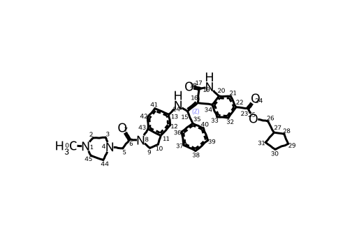 CN1CCN(CC(=O)N2CCc3cc(N/C(=C4\C(=O)Nc5cc(C(=O)OCC6CCCC6)ccc54)c4ccccc4)ccc32)CC1